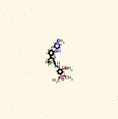 CCP(=O)(CC)c1ccc(NCC#Cc2sc3c(NC4CCN(C)C[C@H]4F)cccc3c2CC(F)(F)F)c(OC)c1